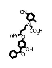 [C-]#[N+]c1ccc(C)c(N(CCCC(CCC)Oc2ccc(C(=O)c3ccccc3)c(O)c2)CC(=O)O)c1